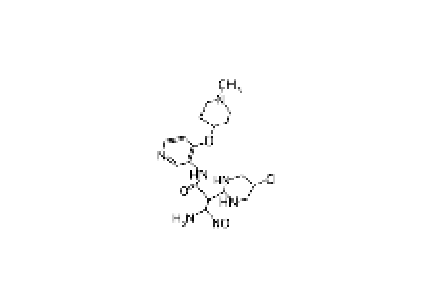 CN1CCC(Oc2ccncc2NC(=O)C(C(N)N=O)C2NCC(Cl)CN2)CC1